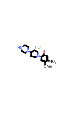 COc1cc(N2CCC(N3CCNCC3)CC2)c(Br)cc1[N+](=O)[O-].Cl